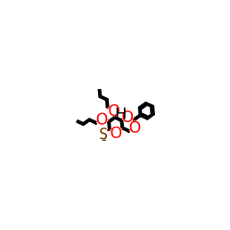 CCCCOC1C(OCCCC)[C@H](SC)OC2COC(c3ccccc3)O[C@H]21